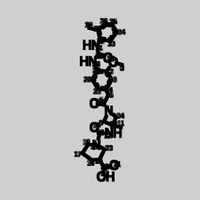 COc1cc(CC(=O)N2CC(C)(NC(=O)N3CCCC(C(=O)O)C3)C2)ccc1NC(=O)Nc1ccccc1C